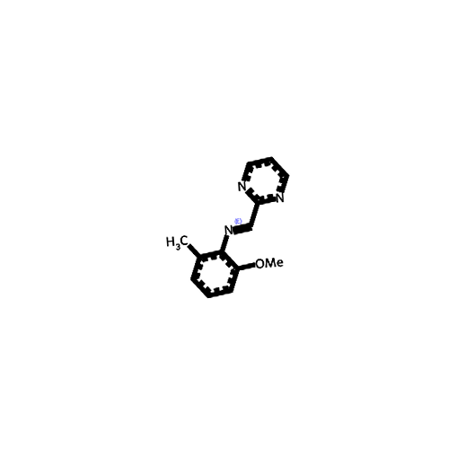 COc1cccc(C)c1/N=C/c1ncccn1